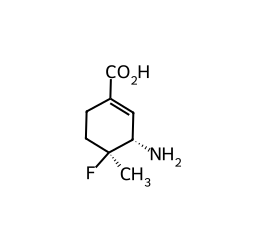 C[C@]1(F)CCC(C(=O)O)=C[C@@H]1N